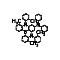 Cc1ccccc1N1c2cc(N(c3ccccc3)c3ccccc3)cc3c2B(c2cccc(C)c21)c1cccc(C)c1N3c1ccccc1C